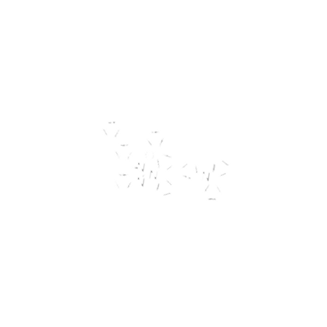 c1ccc(-c2ccc(-c3nc(-n4c5ccccc5c5c(-c6ccc(-n7c8ccccc8c8ccccc87)cc6)cc6c7ccccc7oc6c54)nc4ccccc34)cc2)cc1